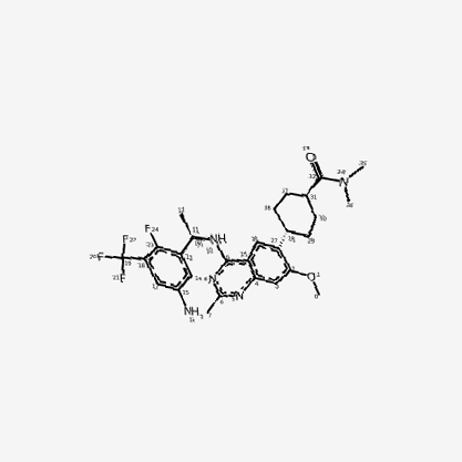 COc1cc2nc(C)nc(N[C@H](C)c3cc(N)cc(C(F)(F)F)c3F)c2cc1[C@H]1CC[C@H](C(=O)N(C)C)CC1